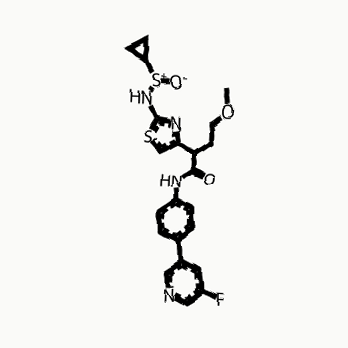 COCCC(C(=O)Nc1ccc(-c2cncc(F)c2)cc1)c1csc(N[S+]([O-])C2CC2)n1